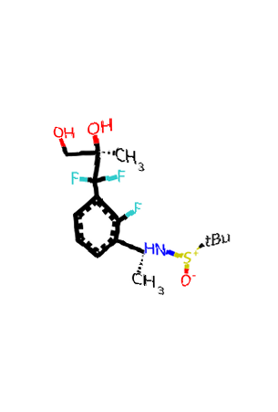 C[C@@H](N[S@+]([O-])C(C)(C)C)c1cccc(C(F)(F)[C@](C)(O)CO)c1F